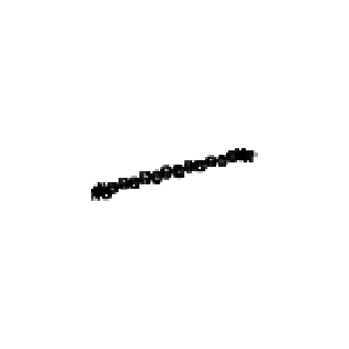 [N-]=[N+]=NCOCCOCCOCCOCCOCCOCCOCCOCCOCCOCCOCCOCC(=O)N=[N+]=[N-]